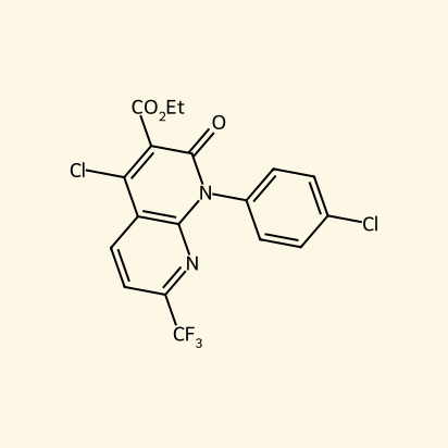 CCOC(=O)c1c(Cl)c2ccc(C(F)(F)F)nc2n(-c2ccc(Cl)cc2)c1=O